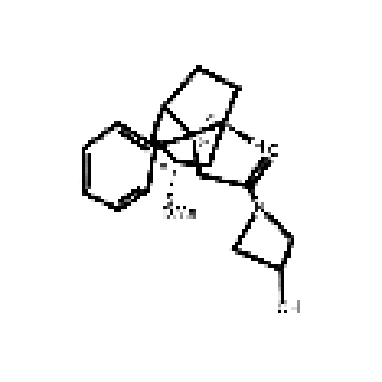 CO[C@@H]1CC2CC[C@H](C1)[C@]2(CC(=O)N1CC(O)C1)c1ccccc1